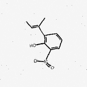 CC=C(C)c1cccc([N+](=O)[O-])c1O